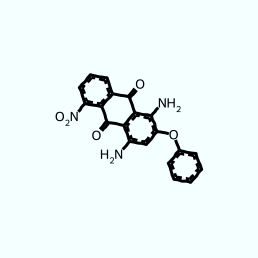 Nc1cc(Oc2ccccc2)c(N)c2c1C(=O)c1c(cccc1[N+](=O)[O-])C2=O